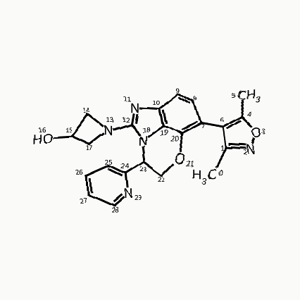 Cc1noc(C)c1-c1ccc2nc(N3CC(O)C3)n3c2c1OCC3c1ccccn1